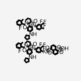 Cc1ccc(NC(=O)[C@H]2CCCN(C(=O)c3c(C)cccc3F)[C@H]2c2ccc(NC3CCCC3)cc2)cc1C(F)(F)F.Cc1ccc(NC(=O)[C@H]2CCCN(C(=O)c3c(C)cccc3F)[C@H]2c2ccc(NC3CCCC3)cc2)cc1C(F)(F)F.O=S(=O)(O)c1cccc2c(S(=O)(=O)O)cccc12